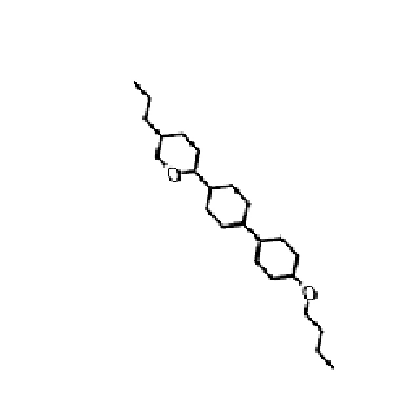 CCCCOC1CCC(C2CCC(C3CCC(CCC)CO3)CC2)CC1